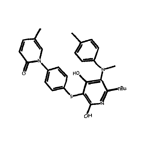 CCCCc1nc(O)c(Sc2ccc(-n3cc(C)ccc3=O)cc2)c(O)c1N(C)c1ccc(C)cc1